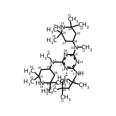 CN(c1nc(NC(C)(C)CC(C)(C)C)nc(N(C)C2CC(C)(C)NC(C)(C)C2)n1)C1CC(C)(C)NC(C)(C)C1